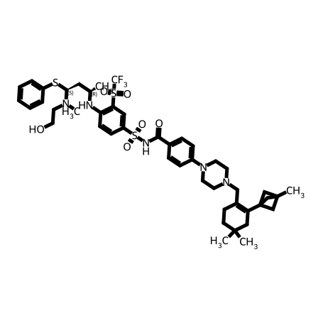 C[C@H](C[C@H](Sc1ccccc1)N(C)CCO)Nc1ccc(S(=O)(=O)NC(=O)c2ccc(N3CCN(CC4=C(C56CC(C)(C5)C6)CC(C)(C)CC4)CC3)cc2)cc1S(=O)(=O)C(F)(F)F